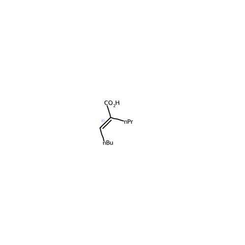 CCCC/C=C(\CCC)C(=O)O